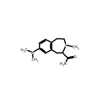 CN(C)c1[c]cc2c(c1)CC(C(N)=O)N(C)CC2